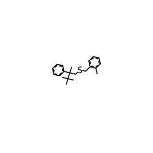 Cc1ccccc1CSCC(C)(c1ccccc1)C(C)(C)C